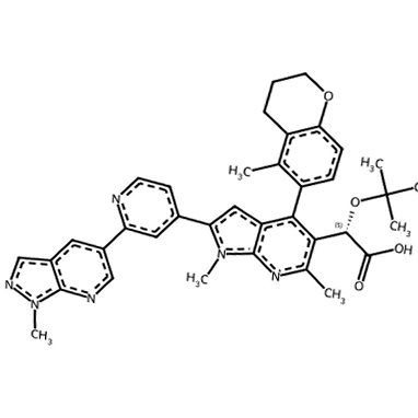 Cc1nc2c(cc(-c3ccnc(-c4cnc5c(cnn5C)c4)c3)n2C)c(-c2ccc3c(c2C)CCCO3)c1[C@H](OC(C)(C)C)C(=O)O